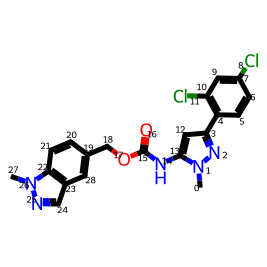 Cn1nc(-c2ccc(Cl)cc2Cl)cc1NC(=O)OCc1ccc2c(cnn2C)c1